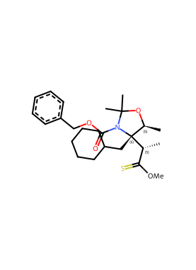 COC(=S)[C@@H](C)[C@@]1(CC2CCCCC2)[C@H](C)OC(C)(C)N1C(=O)OCc1ccccc1